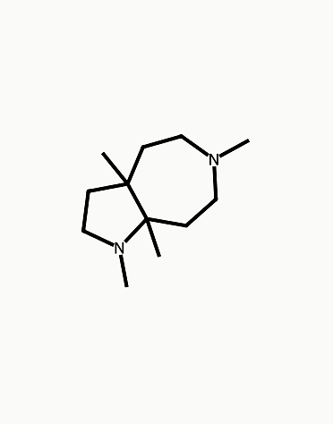 CN1CCC2(C)CCN(C)C2(C)CC1